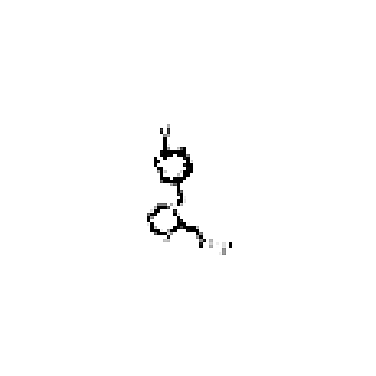 O=C(O)C=C1SCCCN1Cc1ccc(Cl)nc1